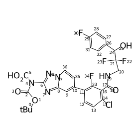 CC(C)(C)OC(=O)N(C(=O)O)c1nc2cc(-c3ccc(Cl)c(C(=O)NCC(F)(F)C(O)c4ccc(F)cc4)c3F)ccn2n1